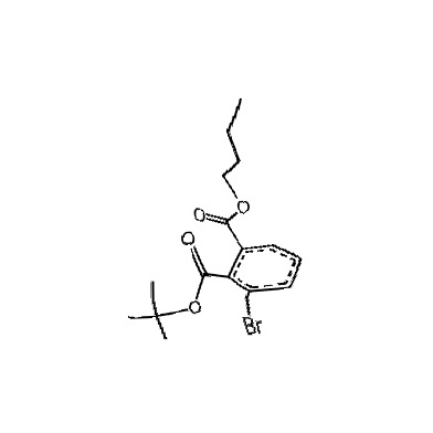 CCCCOC(=O)c1cccc(Br)c1C(=O)OC(C)(C)C